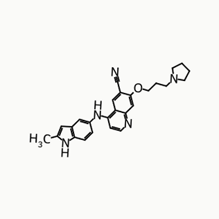 Cc1cc2cc(Nc3ccnc4cc(OCCCN5CCCC5)c(C#N)cc34)ccc2[nH]1